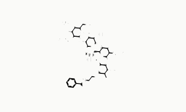 CO[C@@H]1C(CO)O[C@H](O[C@@H]2C(OC=O)O[C@@H](O[C@@H]3C(CO)O[C@H](O[C@@H]4C(OC=O)O[C@@H](OCCNC(=O)c5ccccc5)C(C)[C@H]4O)C(NC(C)=O)[C@H]3O)C(O)[C@H]2O)C(NC(C)=O)[C@H]1O